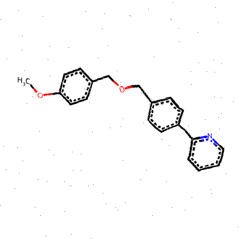 COc1ccc(COCc2ccc(-c3ccccn3)cc2)cc1